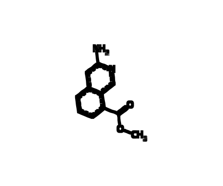 COC(=O)c1cccc2cc(N)ncc12